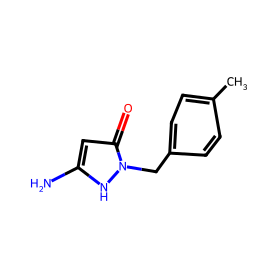 Cc1ccc(Cn2[nH]c(N)cc2=O)cc1